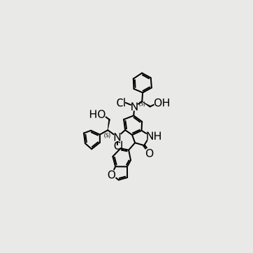 O=C1Nc2cc(N(Cl)[C@H](CO)c3ccccc3)cc(N(Cl)[C@H](CO)c3ccccc3)c2C1c1ccc2occc2c1